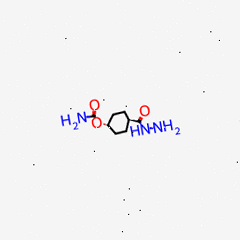 NNC(=O)[C@H]1CC[C@H](OC(N)=O)CC1